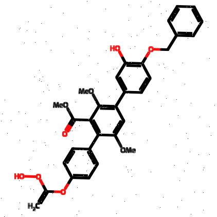 C=C(OO)Oc1ccc(-c2c(OC)cc(-c3ccc(OCc4ccccc4)c(O)c3)c(OC)c2C(=O)OC)cc1